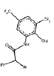 CC(C)C(Br)C(=O)Nc1cc(C(F)(F)F)cc(C(F)(F)F)c1O